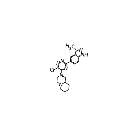 Cc1n[nH]c2ccc(-c3nnc(Cl)c(N4CCN5CCCCC5C4)n3)cc12